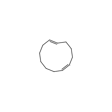 [C]1=C\CCCCC/C=C/CCC/1